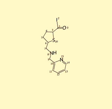 O=C(I)C1CCC(CNCc2ccccn2)S1